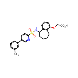 O=C(O)COc1cccc2c1CCCCC2NS(=O)(=O)c1ccc(-c2cccc(C(F)(F)F)c2)cn1